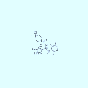 Cc1ccc(F)c([C@@H](C)[C@H](NS(=O)(=O)N2CCC(Cl)(Cl)CC2)c2n[nH]c(=O)o2)c1C